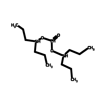 CCC[SiH](CCC)O[PH](=O)O[SiH](CCC)CCC